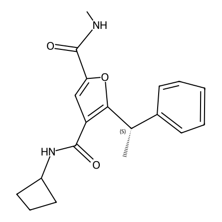 CNC(=O)c1cc(C(=O)NC2CCC2)c([C@@H](C)c2ccccc2)o1